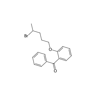 CC(Br)CCCOc1ccccc1C(=O)c1ccccc1